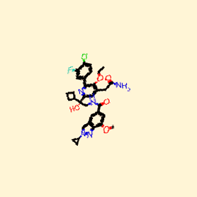 CCOc1c(CC(N)=O)cc([C@@](O)(CNC(=O)c2cc(OC)c3nn(C4CC4)cc3c2)C2CCC2)nc1-c1ccc(Cl)c(F)c1